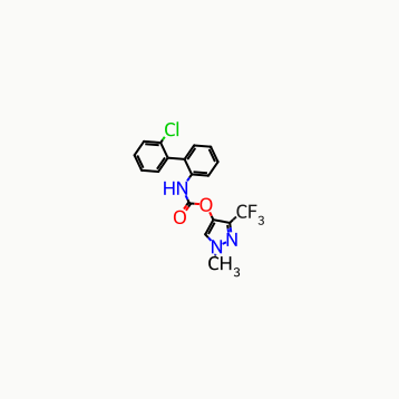 Cn1cc(OC(=O)Nc2ccccc2-c2ccccc2Cl)c(C(F)(F)F)n1